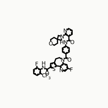 O=C(Nc1c(F)cccc1C(F)(F)F)c1cc2c(s1)-c1ncc(F)cc1N(C(=O)c1ccc(NC(=O)c3cccnc3N3CC4(CCOCC4)C3)cc1)CC2